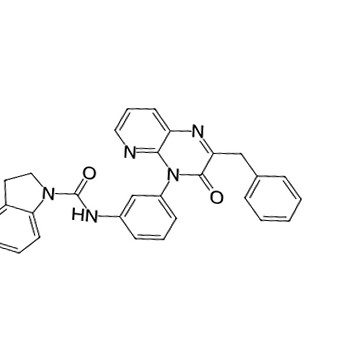 O=C(Nc1cccc(-n2c(=O)c(Cc3ccccc3)nc3cccnc32)c1)N1CCc2ccccc21